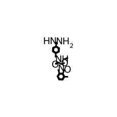 CCOC(C(=O)NCc1ccc(C(=N)N)cc1)N1Cc2cccc(C)c2C1=O